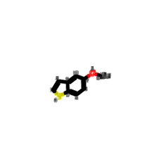 CCC(C)Oc1ccc2sccc2c1